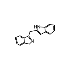 c1ccc2c(c1)CN=C2Cc1cc2ccccc2[nH]1